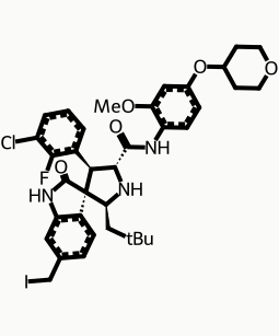 COc1cc(OC2CCOCC2)ccc1NC(=O)[C@@H]1N[C@@H](CC(C)(C)C)[C@@]2(C(=O)Nc3cc(CI)ccc32)[C@H]1c1cccc(Cl)c1F